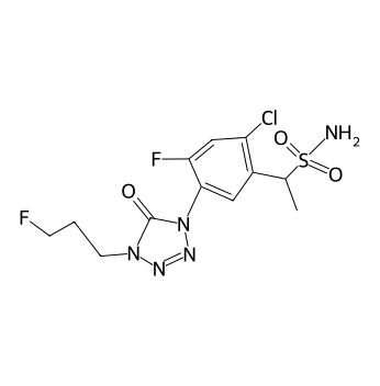 CC(c1cc(-n2nnn(CCCF)c2=O)c(F)cc1Cl)S(N)(=O)=O